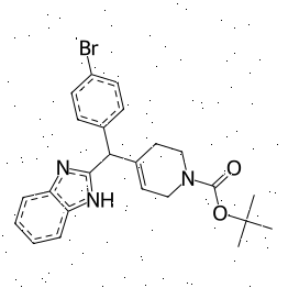 CC(C)(C)OC(=O)N1CC=C(C(c2ccc(Br)cc2)c2nc3ccccc3[nH]2)CC1